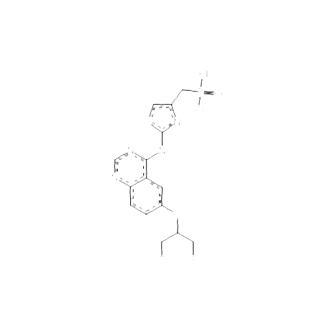 CP(C)(=O)Cc1csc(Nc2ncnc3ccc(OC(CF)CF)cc23)n1